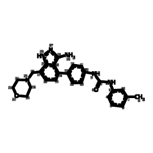 Cc1cccc(NC(=O)Nc2ccc(-c3ccc(CN4CCOCC4)c4[nH]nc(N)c34)cc2)c1